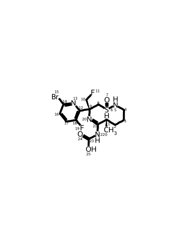 C[C@]12CCCN[SH]1(=O)C[C@@](CF)(c1nc(Br)ccc1F)N=C2NC(=O)O